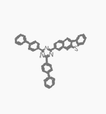 c1ccc(-c2ccc(-c3nc(-c4ccc(-c5ccccc5)cc4)nc(-c4ccc5cc6c(cc5c4)sc4ccccc46)n3)cc2)cc1